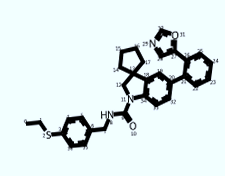 CCSc1ccc(CNC(=O)N2CC3(CCCC3)c3cc(-c4ccccc4-c4cnco4)ccc32)cc1